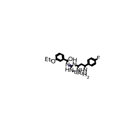 CCOc1cccc(C(=O)/N=C(\NC(N)CC(N)c2ccc(F)cc2)NC(C)(C)C)c1